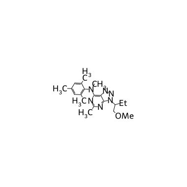 CCC(COC)n1nnc2c(N(C)c3c(C)cc(C)cc3C)nc(C)nc21